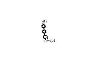 CCCCCCCc1ccc(-c2ccc(-c3ccc(OCC)cc3)cc2)cn1